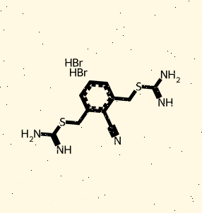 Br.Br.N#Cc1c(CSC(=N)N)cccc1CSC(=N)N